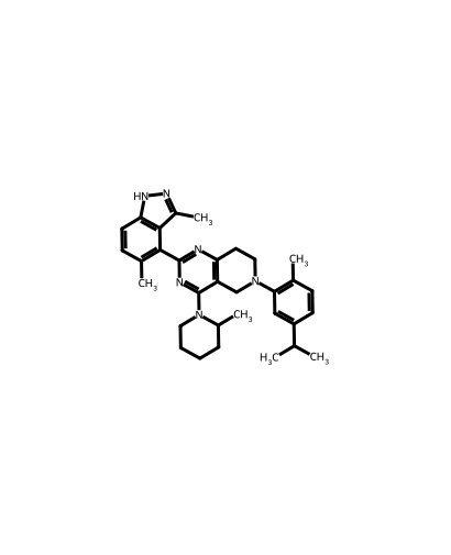 Cc1ccc(C(C)C)cc1N1CCc2nc(-c3c(C)ccc4[nH]nc(C)c34)nc(N3CCCCC3C)c2C1